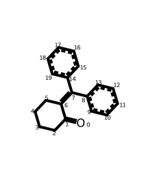 O=C1CCCCC1=C(c1ccccc1)c1ccccc1